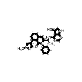 C[C@H](Nc1ncnc2[nH]cc(C#N)c12)c1cc2cccc(-c3cnn(C)c3)c2c(=O)n1-c1ccccc1